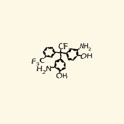 Nc1cc(C(c2cccc(C(F)(F)F)c2)(c2ccc(O)c(N)c2)C(F)(F)F)ccc1O